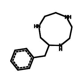 c1ccc(CC2CNCCNCCN2)cc1